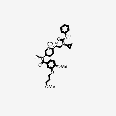 COCCCOc1cc(C(=O)N(C(C)C)[C@@H]2CC[C@H](CCN(C(=O)Nc3ccccc3)C3CC3)N(C(=O)O)C2)ccc1OC